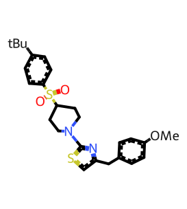 COc1ccc(Cc2csc(N3CCC(S(=O)(=O)c4ccc(C(C)(C)C)cc4)CC3)n2)cc1